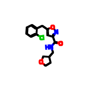 O=C(NCC1CCOC1)c1cc(Cc2ccccc2Cl)on1